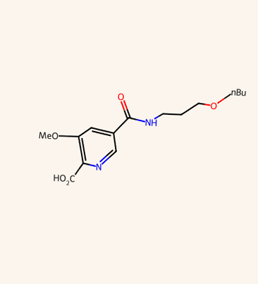 CCCCOCCCNC(=O)c1cnc(C(=O)O)c(OC)c1